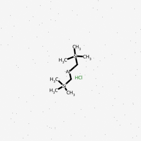 C[Si](C)(C)[CH2][Al][CH2][Si](C)(C)C.Cl